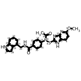 COc1ccc2[nH]c(SN(C(C)=O)c3ccc(C(=O)NCc4cccc5[nH]ccc45)cc3)nc2n1